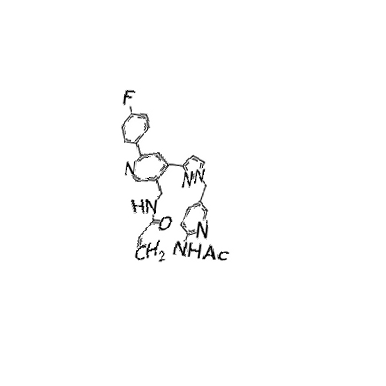 C=CC(=O)NCc1cnc(-c2ccc(F)cc2)cc1-c1ccn(Cc2ccc(NC(C)=O)nc2)n1